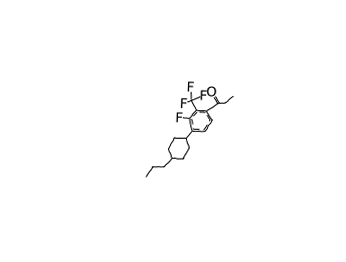 CCCC1CCC(c2ccc(C(=O)CC)c(C(F)(F)F)c2F)CC1